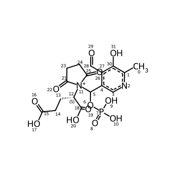 Cc1ncc(C(OP(=O)(O)O)[N+]2([C@@H](CCC(=O)O)C(=O)O)C(=O)CCC2=O)c(C=O)c1O